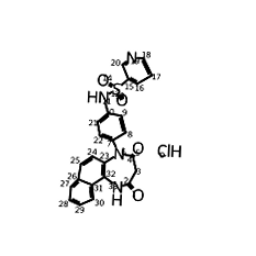 Cl.O=C1CC(=O)N(c2ccc(NS(=O)(=O)c3cccnc3)cc2)c2ccc3ccccc3c2N1